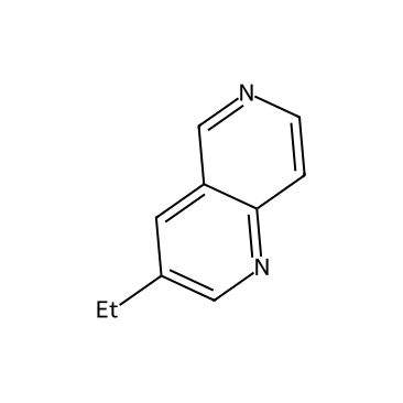 CCc1cnc2ccncc2c1